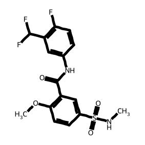 CNS(=O)(=O)c1ccc(OC)c(C(=O)Nc2ccc(F)c(C(F)F)c2)c1